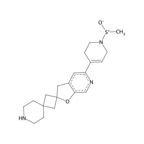 C[S+]([O-])N1CC=C(c2cc3c(cn2)OC2(C3)CC3(CCNCC3)C2)CC1